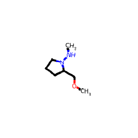 CNN1CCCC1COC